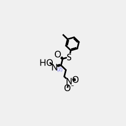 Cc1cccc(SC(=O)/C(CC[N+](=O)[O-])=N\O)c1